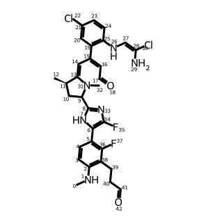 CNc1ccc(-c2[nH]c(C3C[C@@H](C)/C(=C/C(=C\C=O)c4cc(Cl)ccc4N/C=C(\N)Cl)N3C)nc2F)c(F)c1CCC=O